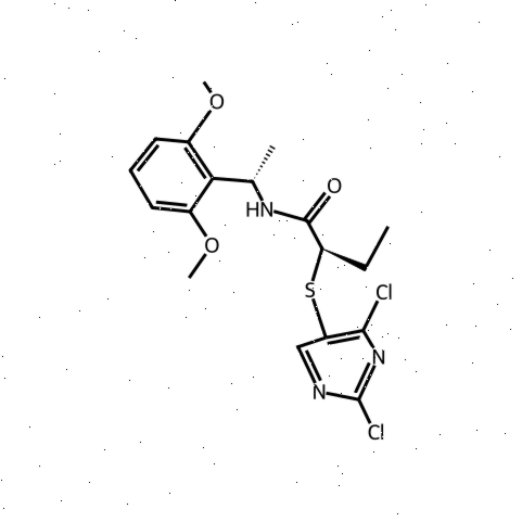 CC[C@@H](Sc1cnc(Cl)nc1Cl)C(=O)N[C@@H](C)c1c(OC)cccc1OC